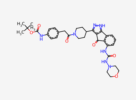 CC(C)(C)OC(=O)Nc1ccc(CC(=O)N2CCC(c3n[nH]c4c3C(=O)c3c(NC(=O)NN5CCOCC5)cccc3-4)CC2)cc1